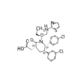 CC[C@@H](CNc1nccs1)N1C(=O)[C@@H](CC(=O)O)C[C@H](c2cccc(Cl)c2)[C@H]1c1ccc(Cl)cc1